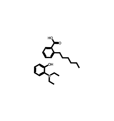 CCCCCCc1ccccc1C(=O)O.CCN(CC)c1ccccc1O